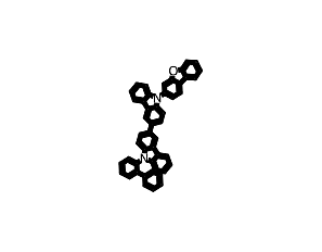 c1ccc(-c2ccccc2-n2c3ccccc3c3cc(-c4ccc5c(c4)c4ccccc4n5-c4ccc5c(c4)oc4ccccc45)ccc32)cc1